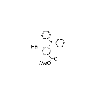 Br.COC(=O)c1cccc(P(c2ccccc2)c2ccccc2)c1C